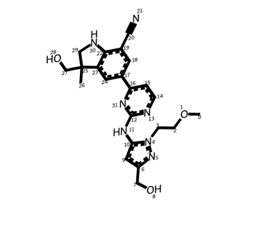 COCCn1nc(CO)cc1Nc1nccc(-c2cc(C#N)c3c(c2)C(C)(CO)CN3)n1